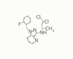 CC(C=C(Cl)Cl)Nc1nn(Cc2ccccc2F)c2cccnc12